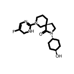 O=C1N([C@H]2CC[C@H](O)CC2)CC[C@@]12CCCN(C1=NC=C(F)[CH]N1)C2